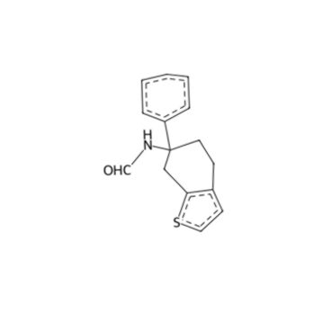 O=CNC1(c2ccccc2)CCc2ccsc2C1